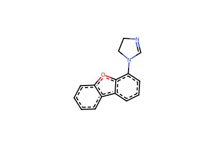 C1=NCCN1c1cccc2c1oc1ccccc12